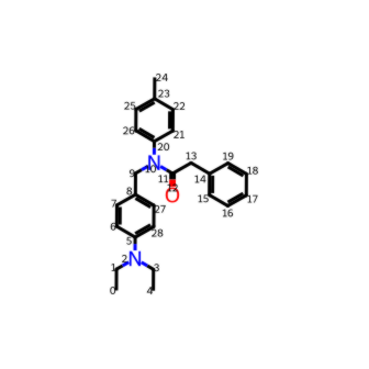 CCN(CC)c1ccc(CN(C(=O)Cc2ccccc2)c2ccc(C)cc2)cc1